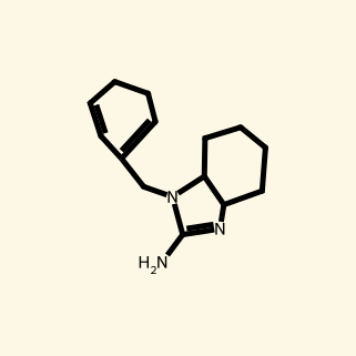 NC1=NC2CCCCC2N1CC1=CCCC=C1